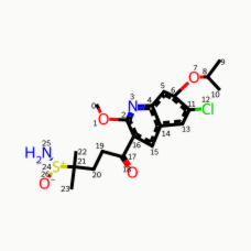 COc1nc2cc(OC(C)C)c(Cl)cc2cc1C(=O)CCC(C)(C)[S@+](N)[O-]